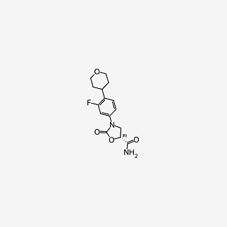 NC(=O)[C@H]1CN(c2ccc(C3CCOCC3)c(F)c2)C(=O)O1